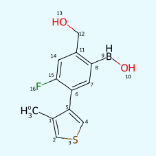 Cc1cscc1-c1cc(BO)c(CO)cc1F